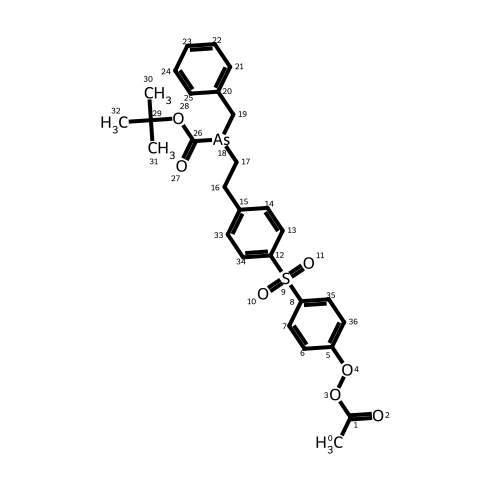 CC(=O)OOc1ccc(S(=O)(=O)c2ccc(CC[As](Cc3ccccc3)C(=O)OC(C)(C)C)cc2)cc1